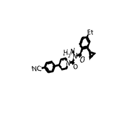 CCc1ccc(C(=O)N(N)C(=O)N2CCC(c3ccc(C#N)cc3)CC2)c(C2CC2)c1